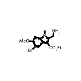 CCOC(=O)c1c(CN)n(C)c2cc(OC)c(Br)cc12